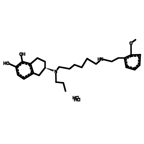 CCCN(CCCCCCNCCc1ccccc1OC)[C@H]1CCc2c(ccc(O)c2O)C1.Cl.Cl